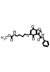 COC(=O)NCCCCSC1=CC(=O)c2onc(C(=O)Nc3ccccc3)c2C1=O